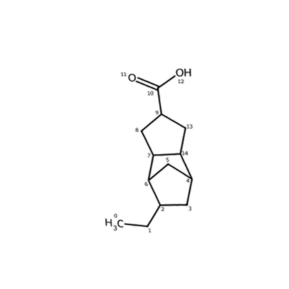 CCC1CC2CC1C1CC(C(=O)O)CC21